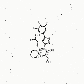 O=C(O)CO[C@@H]1[C@@H](n2cc(-c3cc(F)c(F)c(F)c3)nn2)[C@@H](O)[C@@H](CO)O[C@@]12CCCCO2